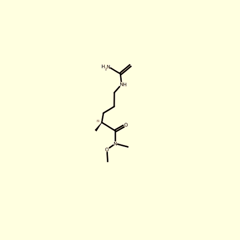 C=C(N)NCCC[C@H](C)C(=O)N(C)OC